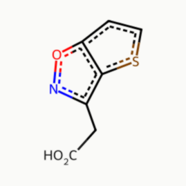 O=C(O)Cc1noc2ccsc12